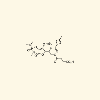 CCCCOC1=C(OP(=O)(N(C)C)N(C)C)C(=O)OC1C(COC(=O)CCC(=O)O)OC(=O)C1C=C(C)C1